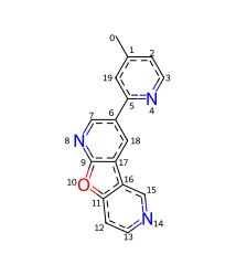 Cc1ccnc(-c2cnc3oc4ccncc4c3c2)c1